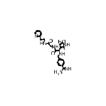 Cl.N=C(N)c1ccc(CNC(C(=O)NCC(=O)NCCc2ccccn2)c2cc[nH]n2)cc1